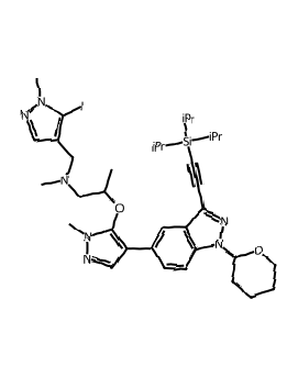 CC(CN(C)Cc1cnn(C)c1I)Oc1c(-c2ccc3c(c2)c(C#C[Si](C(C)C)(C(C)C)C(C)C)nn3C2CCCCO2)cnn1C